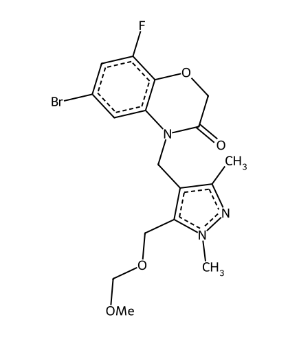 COCOCc1c(CN2C(=O)COc3c(F)cc(Br)cc32)c(C)nn1C